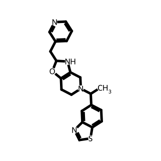 CC(c1ccc2scnc2c1)N1CCC2=C(C1)NC(Cc1cccnc1)O2